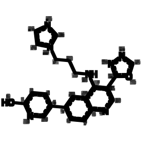 Oc1ccc(-c2ccc3ncc(-c4nnco4)c(NCCCn4ccnc4)c3c2)cn1